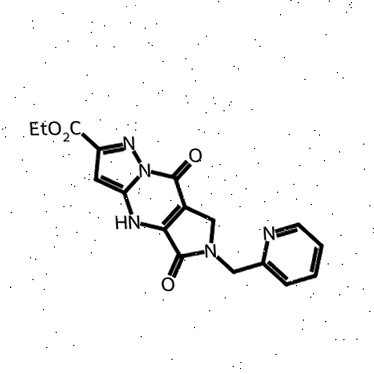 CCOC(=O)c1cc2[nH]c3c(c(=O)n2n1)CN(Cc1ccccn1)C3=O